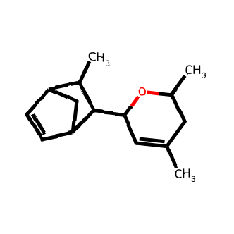 CC1=CC(C2C3C=CC(C3)C2C)OC(C)C1